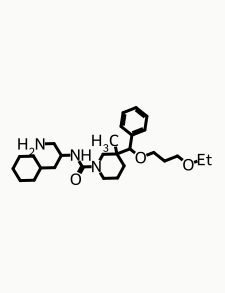 CCOCCCOC(c1ccccc1)C1(C)CCCN(C(=O)NC(CN)CC2CCCCC2)C1